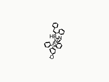 COc1ccc([Si](Cn2ccnc2BC(=Cc2ccccc2)c2ccccc2)(c2ccccc2)c2ccccc2)cc1